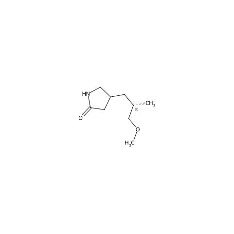 COC[C@@H](C)CC1CNC(=O)C1